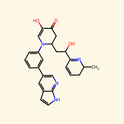 CC1CC=CC(C(O)CC2CC(=O)C(O)=CN2c2cccc(-c3cnc4[nH]ccc4c3)c2)=N1